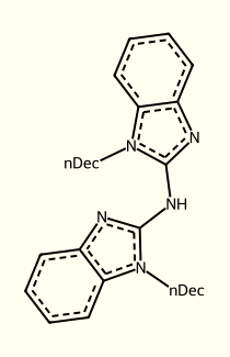 CCCCCCCCCCn1c(Nc2nc3ccccc3n2CCCCCCCCCC)nc2ccccc21